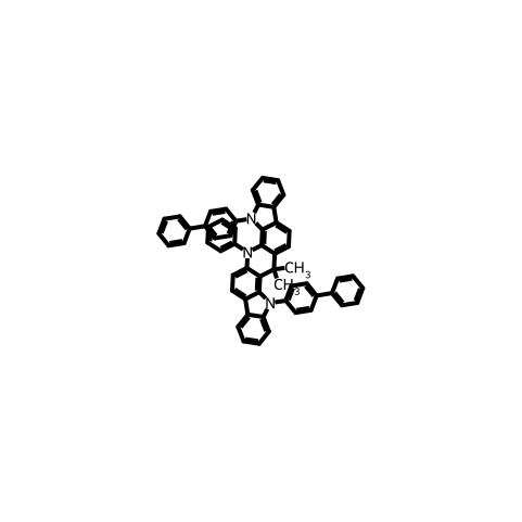 CC1(C)c2ccc3c4ccccc4n(-c4ccc(-c5ccccc5)cc4)c3c2N(c2ccccc2)c2ccc3c4ccccc4n(-c4ccc(-c5ccccc5)cc4)c3c21